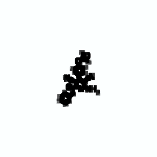 N#Cc1c(N)nc([S+]([O-])Cc2ccccc2)c(C#N)c1-c1ccc(OC2COC2)cc1